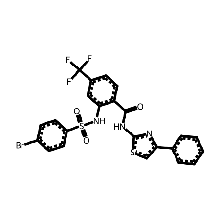 O=C(Nc1nc(-c2ccccc2)cs1)c1ccc(C(F)(F)F)cc1NS(=O)(=O)c1ccc(Br)cc1